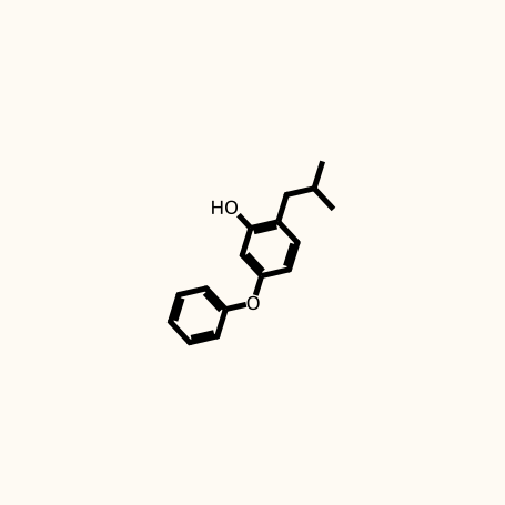 CC(C)Cc1ccc(Oc2ccccc2)cc1O